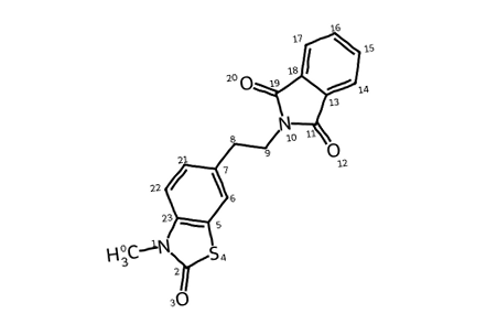 Cn1c(=O)sc2cc(CCN3C(=O)c4ccccc4C3=O)ccc21